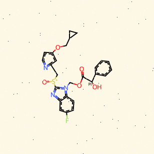 O=C(OCn1c([S+]([O-])Cc2cc(OCC3CC3)ccn2)nc2cc(F)ccc21)[C@H](O)c1ccccc1